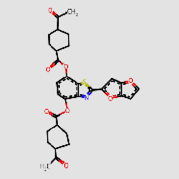 CC(=O)C1CCC(C(=O)Oc2ccc(OC(=O)C3CCC(C(C)=O)CC3)c3sc(-c4cc5occc5o4)nc23)CC1